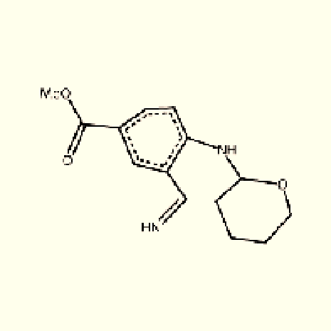 COC(=O)c1ccc(NC2CCCCO2)c(C=N)c1